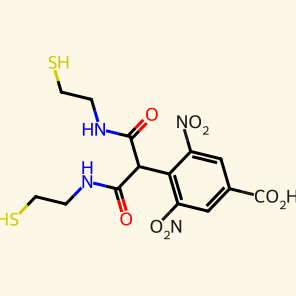 O=C(O)c1cc([N+](=O)[O-])c(C(C(=O)NCCS)C(=O)NCCS)c([N+](=O)[O-])c1